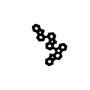 C1=CC2c3ccccc3N(c3cccc4c3oc3cccc(-c5cccc6c5oc5ccccc56)c34)C2c2sc3ccccc3c21